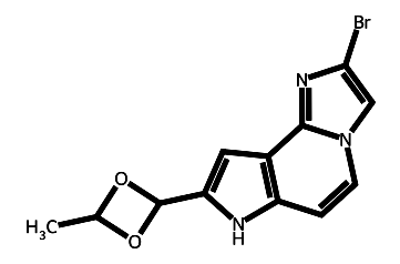 CC1OC(c2cc3c(ccn4cc(Br)nc34)[nH]2)O1